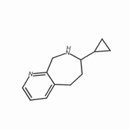 c1cnc2c(c1)CCC(C1CC1)NC2